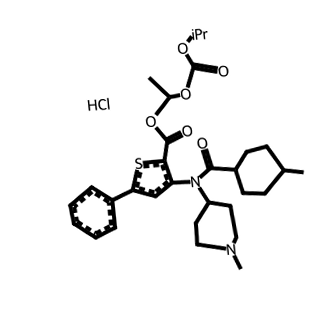 CC1CCC(C(=O)N(c2cc(-c3ccccc3)sc2C(=O)OC(C)OC(=O)OC(C)C)C2CCN(C)CC2)CC1.Cl